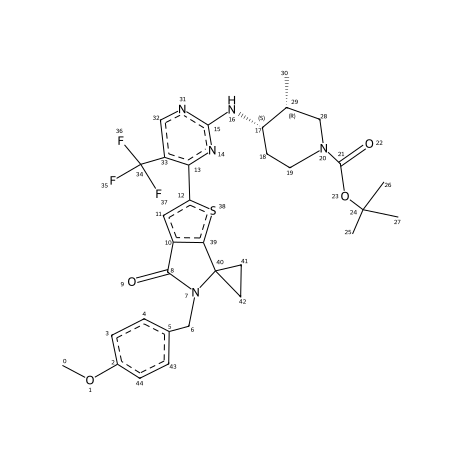 COc1ccc(CN2C(=O)c3cc(-c4nc(N[C@H]5CCN(C(=O)OC(C)(C)C)C[C@H]5C)ncc4C(F)(F)F)sc3C23CC3)cc1